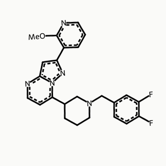 COc1ncccc1-c1cc2nccc(C3CCCN(Cc4ccc(F)c(F)c4)C3)n2n1